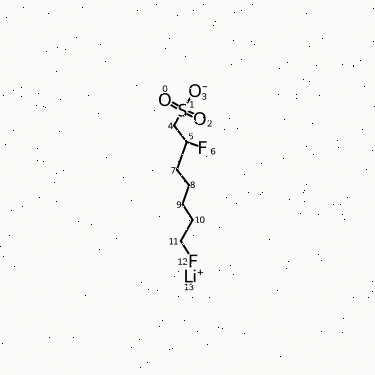 O=S(=O)([O-])CC(F)CCCCCF.[Li+]